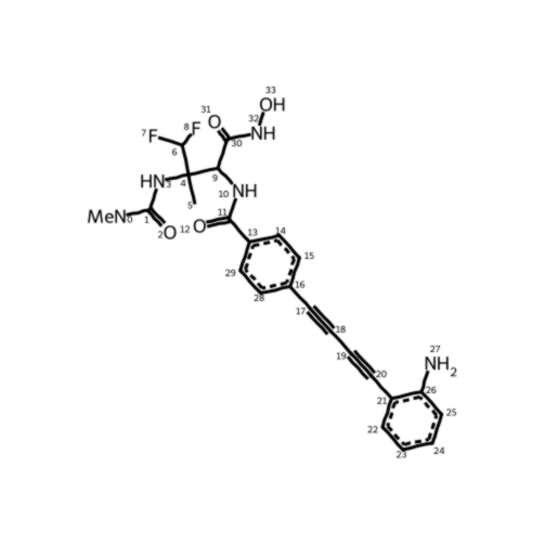 CNC(=O)NC(C)(C(F)F)C(NC(=O)c1ccc(C#CC#Cc2ccccc2N)cc1)C(=O)NO